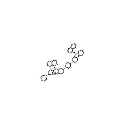 C1=NC(N(c2cccc(-c3ccc(-c4ccc5c6ccccc6n(-c6cccc7ccccc67)c5c4)cc3)c2)c2cccc3ccccc23)NC=C1c1ccccc1